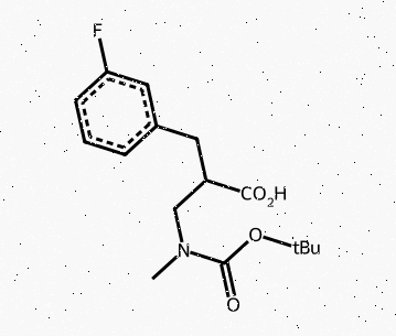 CN(CC(Cc1cccc(F)c1)C(=O)O)C(=O)OC(C)(C)C